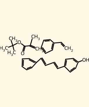 C=C(C)C(=O)OC(C)(C)C.C=Cc1ccccc1.Oc1ccc(C=CC=Cc2ccccc2)cc1